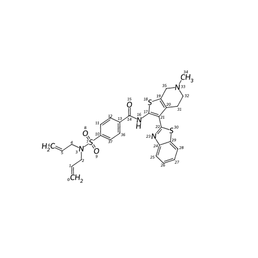 C=CCN(CC=C)S(=O)(=O)c1ccc(C(=O)Nc2sc3c(c2-c2nc4ccccc4s2)CCN(C)C3)cc1